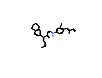 C=C/C(C)=C/c1ccc(N/C=C\C(=C)/C(=C\C=C/C)c2ccc3c(c2)CCCC3)cc1C